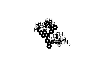 C=C(C)C(=O)OCCCC1(CCCOC(=O)C(=C)C)c2ccccc2-c2ccc(-c3cc(-c4ccc5c(c4)C(COC(=O)C(=C)C)(COC(=O)C(=C)C)c4ccccc4-5)c4ccc5cc(CC(F)(F)C(F)(F)F)cc6ccc3c4c65)cc21